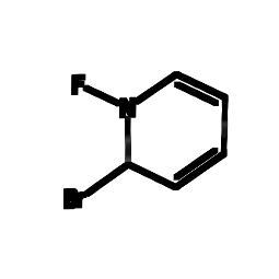 FN1C=CC=CC1Br